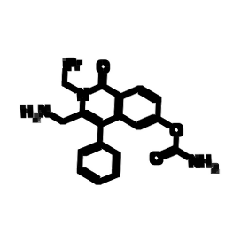 CC(C)Cn1c(CN)c(-c2ccccc2)c2cc(OC(N)=O)ccc2c1=O